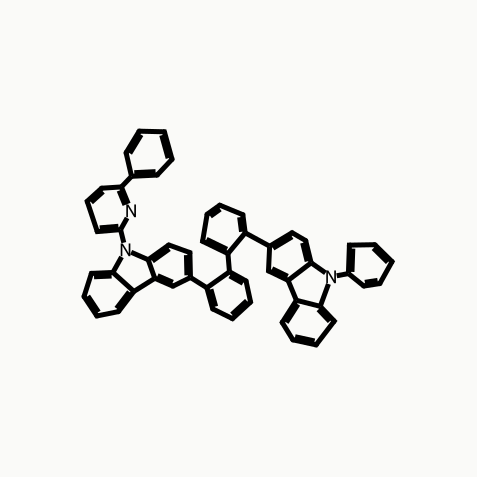 c1ccc(-c2cccc(-n3c4ccccc4c4cc(-c5ccccc5-c5ccccc5-c5ccc6c(c5)c5ccccc5n6-c5ccccc5)ccc43)n2)cc1